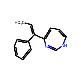 O=C(O)C=C(C1=CC=CNC=N1)c1ccccc1